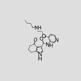 CCCCNCCOc1ccncc1NC(=O)c1c[nH]c2c1C(=O)CCC2